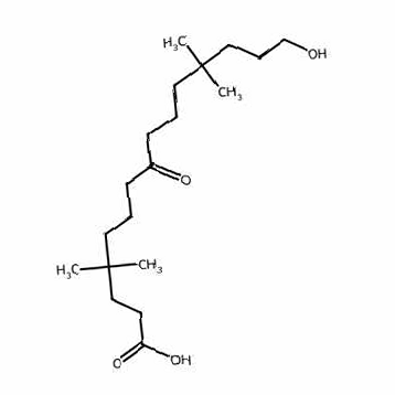 CC(C)(CCCO)CCCC(=O)CCCC(C)(C)CCC(=O)O